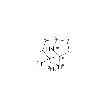 [2H]C1([2H])CCC2CCC1([2H])N2